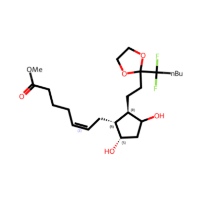 CCCCC(F)(F)C1(CC[C@H]2C(O)C[C@H](O)[C@@H]2C/C=C\CCCC(=O)OC)OCCO1